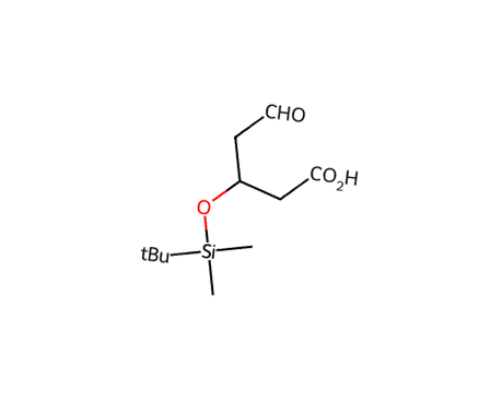 CC(C)(C)[Si](C)(C)OC(CC=O)CC(=O)O